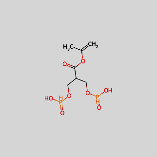 C=C(C)OC(=O)C(CO[PH](=O)O)CO[PH](=O)O